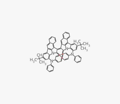 CC(C)(C)c1cc(N(c2ccccc2)c2ccccc2)c2c(c1)c1c3ccccc3cc3c4c5c6c7ccccc7cc7c8cc(C(C)(C)C)cc(N(c9ccccc9)c9ccccc9)c8n(c5ccc4n2c31)c76